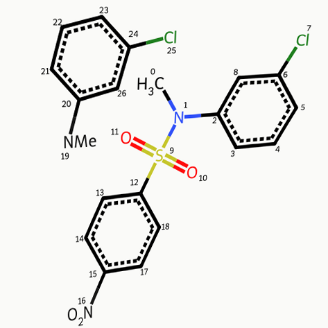 CN(c1cccc(Cl)c1)S(=O)(=O)c1ccc([N+](=O)[O-])cc1.CNc1cccc(Cl)c1